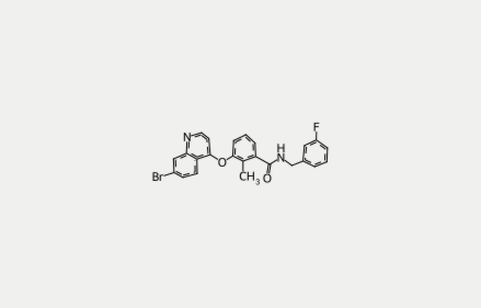 Cc1c(Oc2ccnc3cc(Br)ccc23)cccc1C(=O)NCc1cccc(F)c1